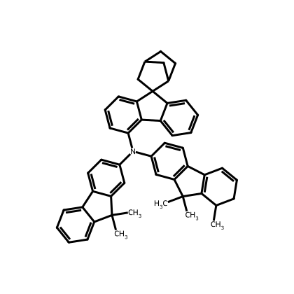 CC1CC=CC2=C1C(C)(C)c1cc(N(c3ccc4c(c3)C(C)(C)c3ccccc3-4)c3cccc4c3-c3ccccc3C43CC4CCC3C4)ccc12